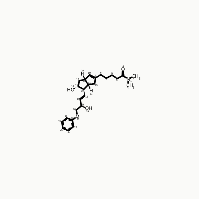 CN(C)C(=O)CCCCC1=C[C@H]2C[C@@H](O)[C@H](/C=C/[C@@H](O)COc3ccccc3)[C@H]2C1